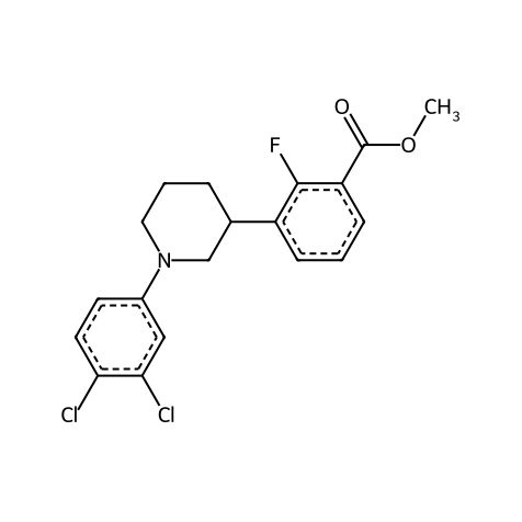 COC(=O)c1cccc(C2CCCN(c3ccc(Cl)c(Cl)c3)C2)c1F